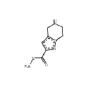 COC(=O)c1cc2n(n1)CCNC2